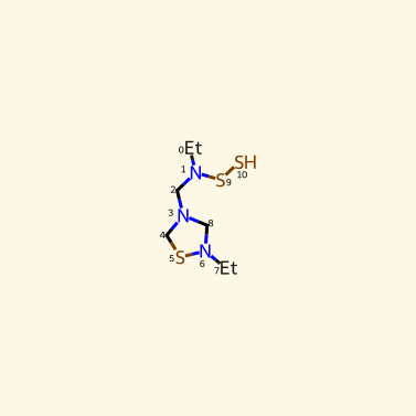 CCN(CN1CSN(CC)C1)SS